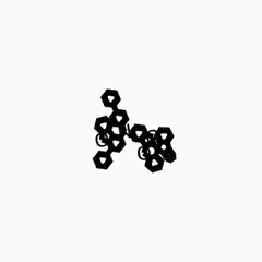 c1ccc(-c2ccc(N(c3ccc4oc5c(c4c3)Oc3ccccc3C53c4ccccc4-c4ccccc43)c3ccc(-c4ccccc4)c4oc5ccccc5c34)cc2)cc1